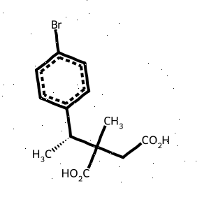 C[C@H](c1ccc(Br)cc1)C(C)(CC(=O)O)C(=O)O